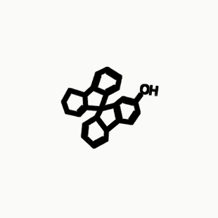 Oc1ccc2c(c1)C1(C3=CCCCC3c3ccccc31)C1C=CC=CC21